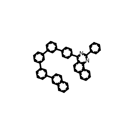 c1ccc(-c2nc(-c3ccc(-c4cccc(-c5cccc(-c6cccc(-c7ccc8ccccc8c7)c6)c5)c4)cc3)c3ccc4ccccc4c3n2)cc1